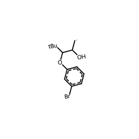 [CH2]C(O)C(Oc1cccc(Br)c1)C(C)(C)C